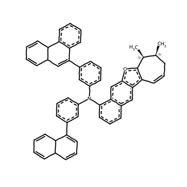 C[C@@H]1c2oc3cc4c(N(c5cccc(C6=CC7C=CC=CC7c7ccccc76)c5)c5cccc(C6=CC=CC7C=CC=CC67)c5)cccc4cc3c2C=CC[C@@H]1C